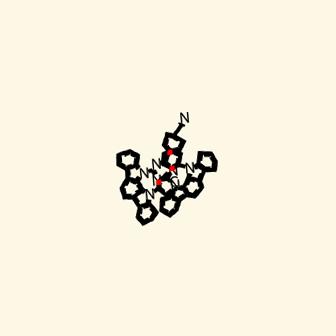 N#Cc1ccc(-c2nc(-n3c4ccccc4c4ccc5c6ccccc6n(-c6ccccc6)c5c43)nc(-n3c4ccccc4c4ccc5c6ccccc6n(-c6ccccc6)c5c43)n2)cc1